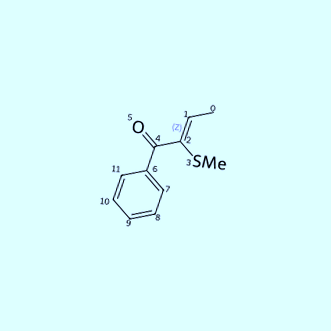 C/C=C(\SC)C(=O)c1ccccc1